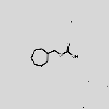 O=C(O)OCC1CCCCCC1